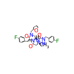 CN1CC(=O)N2[C@@H](Cc3ccc(F)cc3)C(=O)N(Cc3ccco3)C[C@@H]2N1C(=O)NCc1ccc(F)cc1